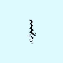 CCCCCCCC(=O)NCOC